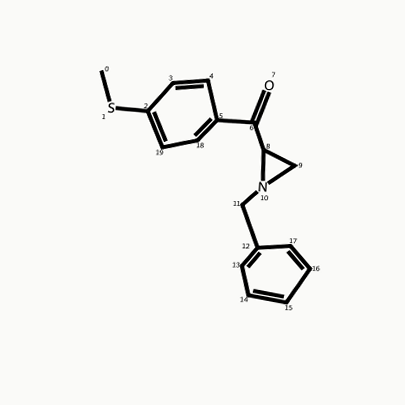 CSc1ccc(C(=O)C2CN2Cc2ccccc2)cc1